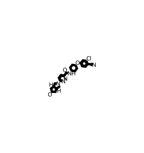 N#Cc1ccc(OC2CCC(NC(=O)c3ccc(N4C[C@H]5CC(=O)C[C@H]5C4)nn3)CC2)cc1Cl